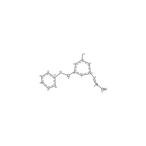 Cc1cc(C=NO)cc(OCc2ccccc2)c1